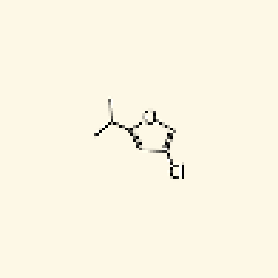 CC(C)c1cc(Cl)co1